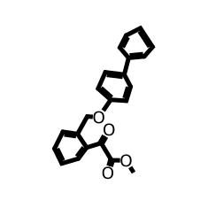 COC(=O)C(=O)c1ccccc1COc1ccc(-c2ccccc2)cc1